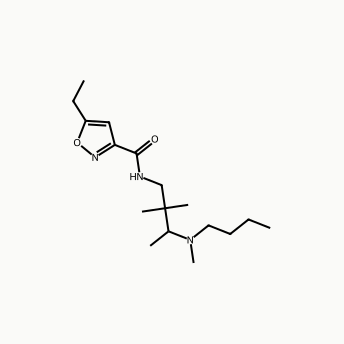 CCCCN(C)C(C)C(C)(C)CNC(=O)c1cc(CC)on1